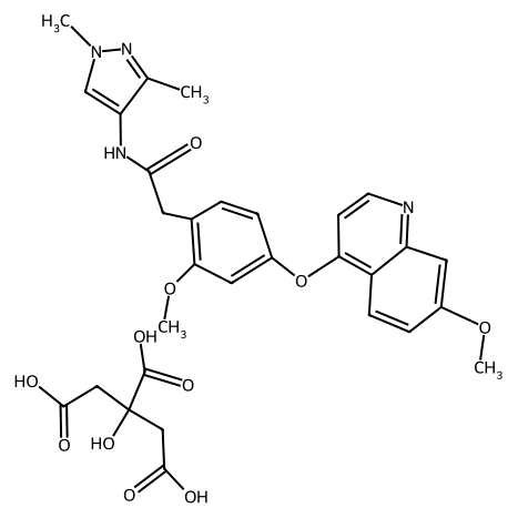 COc1ccc2c(Oc3ccc(CC(=O)Nc4cn(C)nc4C)c(OC)c3)ccnc2c1.O=C(O)CC(O)(CC(=O)O)C(=O)O